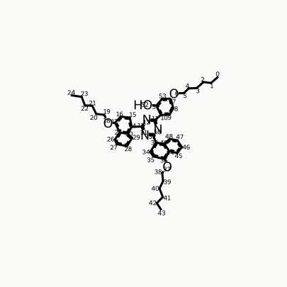 CCCCCCOc1ccc(-c2nc(-c3ccc(OCCCCCC)c4ccccc34)nc(-c3ccc(OCCCCCC)c4ccccc34)n2)c(O)c1